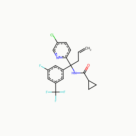 C=CCC(NC(=O)C1CC1)(c1cc(F)cc(C(F)(F)F)c1)c1ccc(Cl)cn1